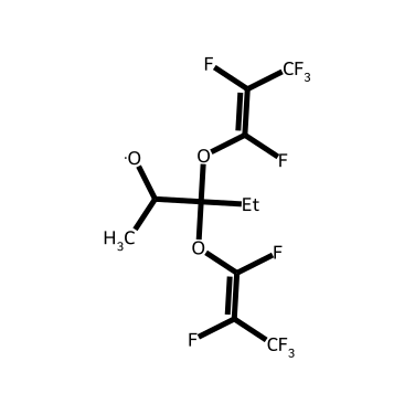 CCC(OC(F)=C(F)C(F)(F)F)(OC(F)=C(F)C(F)(F)F)C(C)[O]